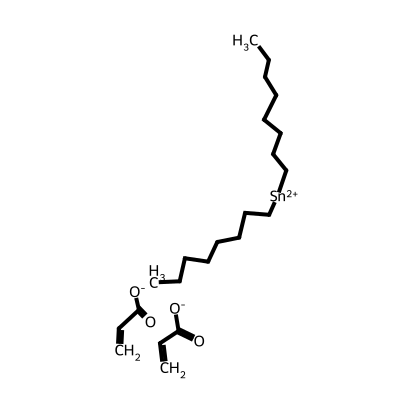 C=CC(=O)[O-].C=CC(=O)[O-].CCCCCCC[CH2][Sn+2][CH2]CCCCCCC